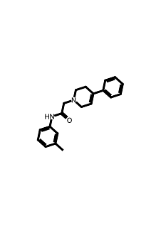 Cc1cccc(NC(=O)CN2CC=C(c3ccccc3)CC2)c1